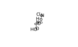 Cc1ncc(-c2ccc(C3(CC(=O)Nc4cccc(CCC(=O)O)c4C)CCCC3)cc2)cc1Cl